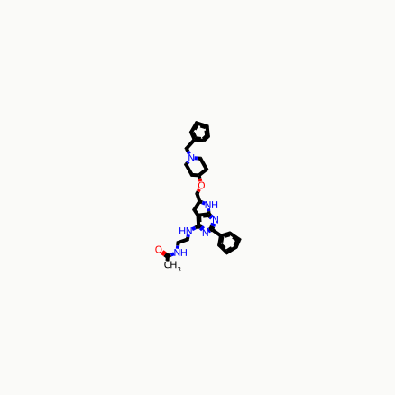 CC(=O)NCCNc1nc(-c2ccccc2)nc2c1CC(COC1CCN(Cc3ccccc3)CC1)N2